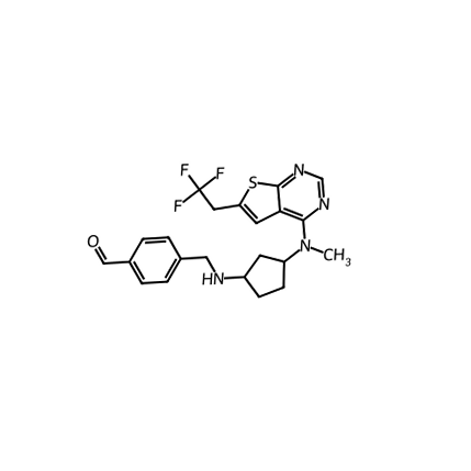 CN(c1ncnc2sc(CC(F)(F)F)cc12)C1CCC(NCc2ccc(C=O)cc2)C1